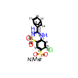 CNS(=O)(=O)c1cc2c(cc1Cl)NC(C1CC3C=CC1C3)NS2(=O)=O